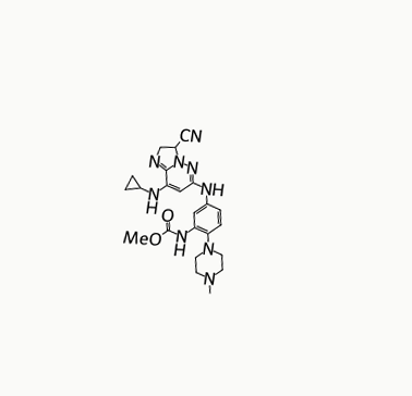 COC(=O)Nc1cc(NC2=NN3C(=NCC3C#N)C(NC3CC3)=C2)ccc1N1CCN(C)CC1